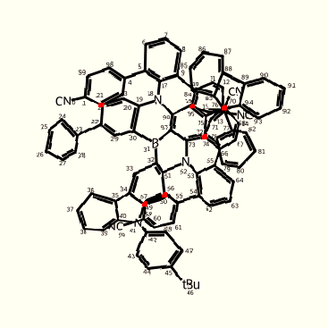 [C-]#[N+]c1ccc(-c2cccc(-c3ccc([N+]#[C-])cc3)c2N2c3ccc(-c4ccccc4)cc3B3c4cc5c6ccccc6n(-c6ccc(C(C)(C)C)cc6)c5cc4N(c4c(-c5ccc(C#N)cc5)cccc4-c4ccc(C#N)cc4)c4cc(C5(c6ccccc6)c6ccccc6-c6ccccc65)cc2c43)cc1